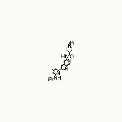 CC(C)Nc1cncc(-c2cnc3cnc(NC(=O)C4CCN(C(C)C)CC4)cc3c2)n1